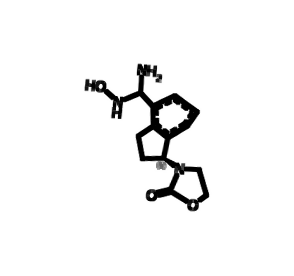 NC(NO)c1cccc2c1CC[C@@H]2N1CCOC1=O